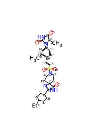 CCC1CCC(C2=NC3(CCN(S(=O)(=O)C=Cc4ccc(N5C(=O)NC(=O)C5C)cc4C)CC3)C(=O)N2)CC1